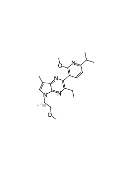 CCc1nc2c(nc1-c1ccc(C(C)C)nc1OC)c(C)cn2[C@@H](C)COC